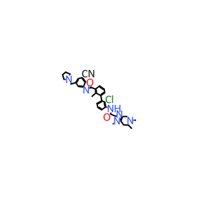 Cc1c(-c2nc3cc(CN4CCCC4)cc(C#N)c3o2)cccc1-c1cccc(NC(=O)c2nc3c(n2C)CC(C)N(C)C3)c1Cl